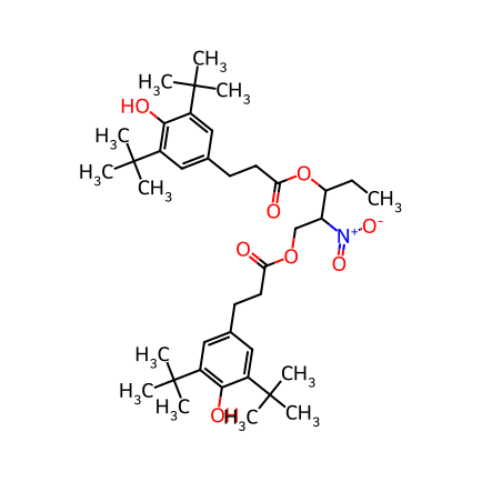 CCC(OC(=O)CCc1cc(C(C)(C)C)c(O)c(C(C)(C)C)c1)C(COC(=O)CCc1cc(C(C)(C)C)c(O)c(C(C)(C)C)c1)[N+](=O)[O-]